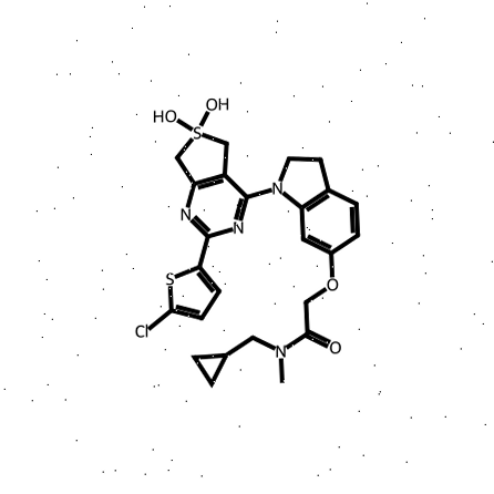 CN(CC1CC1)C(=O)COc1ccc2c(c1)N(c1nc(-c3ccc(Cl)s3)nc3c1CS(O)(O)C3)CC2